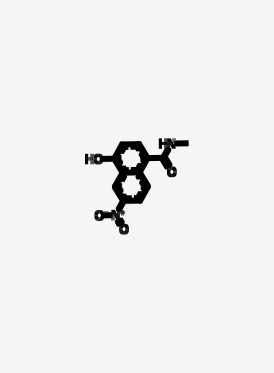 CNC(=O)c1ccc(O)c2cc([N+](=O)[O-])ccc12